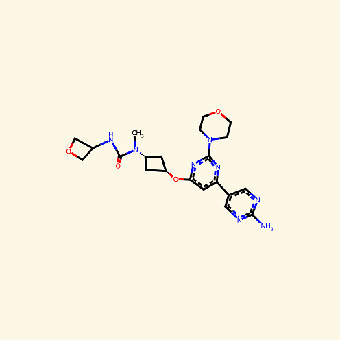 CN(C(=O)NC1COC1)[C@H]1C[C@H](Oc2cc(-c3cnc(N)nc3)nc(N3CCOCC3)n2)C1